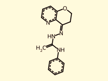 C=C(N/N=C1/CCOc2cccnc21)Nc1ccccc1